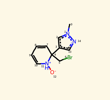 Cn1cc(C2(CBr)C=CC=C[NH+]2[O-])cn1